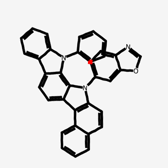 c1ccc(-n2c3ccccc3c3ccc4c5c6ccccc6ccc5n(-c5ccc6ncoc6c5)c4c32)cc1